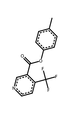 Cc1ccc(OC(=O)c2cnccc2C(F)(F)F)cc1